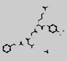 CC(=O)O.CC(C)[C@H](NC(=O)OCc1ccccc1)C(=O)NCC(=O)N[C@@H](CCCNC(=N)N)C(=O)Nc1ccc([N+](=O)[O-])cc1